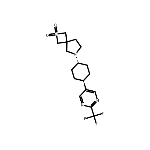 O=S1(=O)CC2(CCN([C@H]3CC[C@H](c4cnc(C(F)(F)F)nc4)CC3)C2)C1